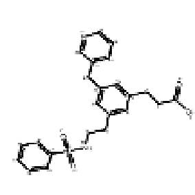 O=C(O)CCc1cc(CCNS(=O)(=O)c2ccccc2)cc(Cc2cccnc2)c1